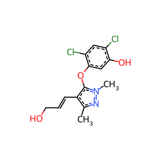 Cc1nn(C)c(Oc2cc(O)c(Cl)cc2Cl)c1/C=C/CO